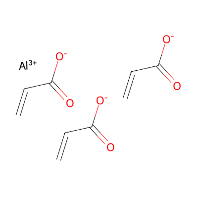 C=CC(=O)[O-].C=CC(=O)[O-].C=CC(=O)[O-].[Al+3]